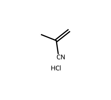 C=C(C)C#N.Cl